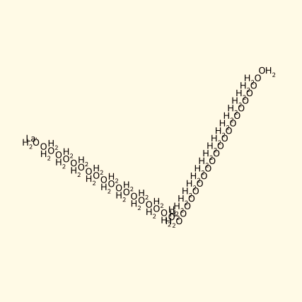 O.O.O.O.O.O.O.O.O.O.O.O.O.O.O.O.O.O.O.O.O.O.O.O.O.O.O.O.O.O.O.O.O.O.O.O.O.O.O.O.[La]